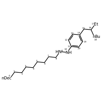 CCCCCCCCCCCCCCCCCCNNc1ccc(CC(CC)CCCC)cc1